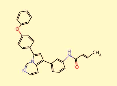 C/C=C/C(=O)Nc1cccc(-c2cc(-c3ccc(Oc4ccccc4)cc3)n3cnccc23)c1